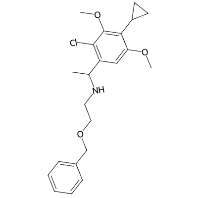 COc1cc(C(C)NCCOCc2ccccc2)c(Cl)c(OC)c1C1CC1